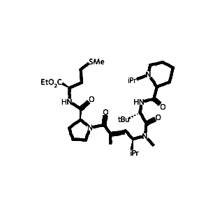 CCOC(=O)[C@@H](CCSC)NC(=O)[C@@H]1CCCN1C(=O)/C(C)=C/[C@H](C(C)C)N(C)C(=O)[C@@H](NC(=O)C1CCCCN1C(C)C)C(C)(C)C